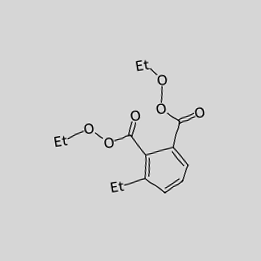 CCOOC(=O)c1cccc(CC)c1C(=O)OOCC